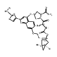 COCCOc1ccc2c(O[C@@H]3C[C@@H](C(N)=O)N(C(=O)[C@@H](NC(=O)O[C@@H]4C[C@@H]5C[C@@H]5C4)C(C)(C)C)C3)cc(-c3csc(NC(C)C)n3)nc2c1